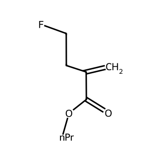 C=C(CCF)C(=O)OCCC